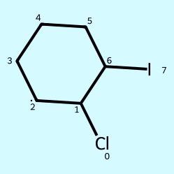 ClC1[CH]CCCC1I